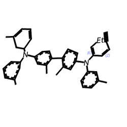 C#C/C=C\C(=C/CC)N(c1cccc(C)c1)c1ccc(-c2ccc(N(c3cccc(C)c3)C3C=CC=C(C)C3)cc2C)c(C)c1